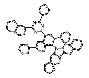 c1ccc(-c2ccc3c(-n4c5cc6ccccc6cc5c5cc6ccccc6cc54)c(-c4ccccc4)cc(-c4nc(-c5ccccc5)nc(-c5ccc6ccccc6c5)n4)c3c2)cc1